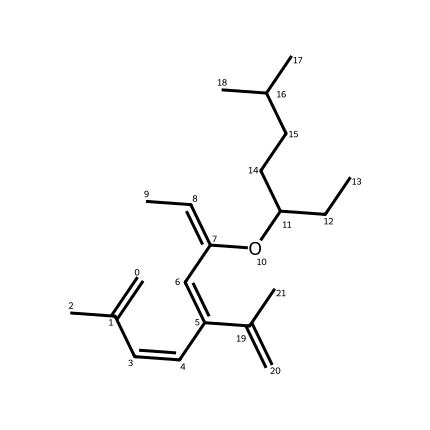 C=C(C)\C=C/C(=C/C(=C\C)OC(CC)CCC(C)C)C(=C)C